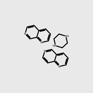 C1CNCCN1.c1cnc2ccncc2c1.c1cnc2cnccc2c1